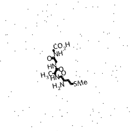 CSCC[C@H](N)C(=O)N[C@@H](C)C(=O)NCC(=O)NCC(=O)O